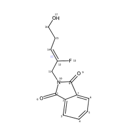 O=C1c2ccccc2C(=O)N1C/C(F)=C/CCO